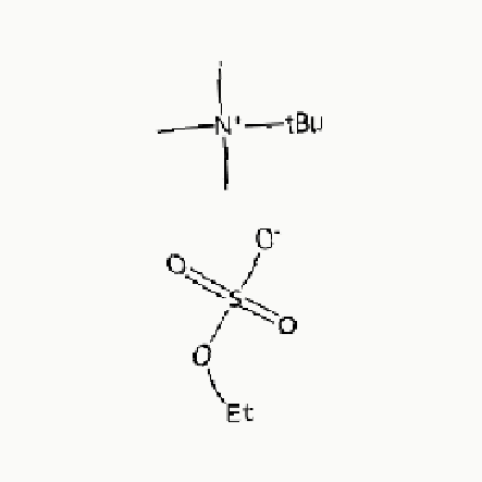 CC(C)(C)[N+](C)(C)C.CCOS(=O)(=O)[O-]